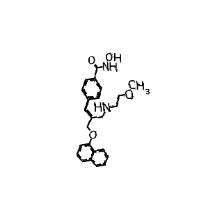 COCCNCC(=Cc1ccc(C(=O)NO)cc1)COc1cccc2ccccc12